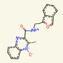 Cc1c(C(=O)NCc2occ3ccccc23)nc2ccccc2[n+]1[O-]